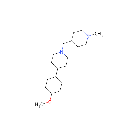 COC1CCC(C2CCN(CC3CCN(C)CC3)CC2)CC1